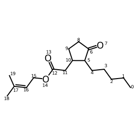 CCCCCC1C(=O)CCC1CC(=O)OCC=C(C)C